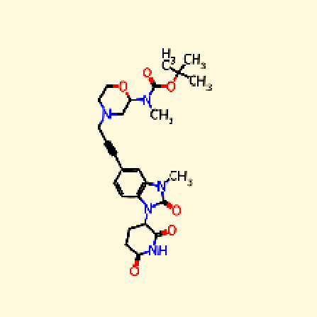 CN(C(=O)OC(C)(C)C)[C@H]1CN(CC#Cc2ccc3c(c2)n(C)c(=O)n3C2CCC(=O)NC2=O)CCO1